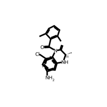 C=C([C@H](C)Nc1cc(N)nc(Cl)n1)N(C(=O)c1c(C)cccc1C)c1ccccc1